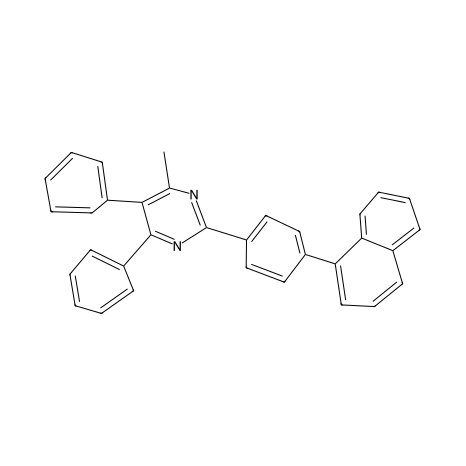 Cc1nc(-c2ccc(-c3cccc4ccccc34)cc2)nc(-c2ccccc2)c1-c1ccccc1